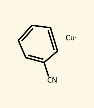 N#Cc1ccccc1.[Cu]